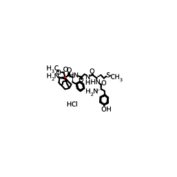 COC(=O)C1(C(=O)[C@H](Cc2ccccc2)NC(=O)CNC(=O)[C@@H](CCSC)NC(=O)[C@@H](N)Cc2ccc(O)cc2)C2CC3CC(C2)CC1(N)C3.Cl